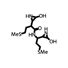 CSCCC(NC(=O)C(CCSC)C1NC1O)C1NC1O